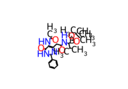 CC(=O)Nc1c(CC(=O)NC(B2OC(C)(C)C(C)(C)O2)C(C)C)nc(-c2ccccc2)[nH]c1=O